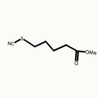 COC(=O)CCCCSC#N